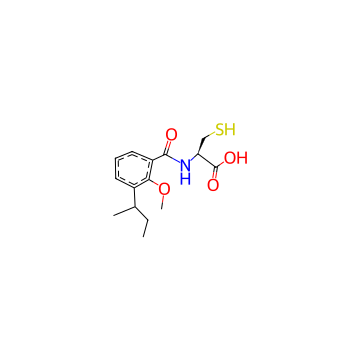 CCC(C)c1cccc(C(=O)N[C@@H](CS)C(=O)O)c1OC